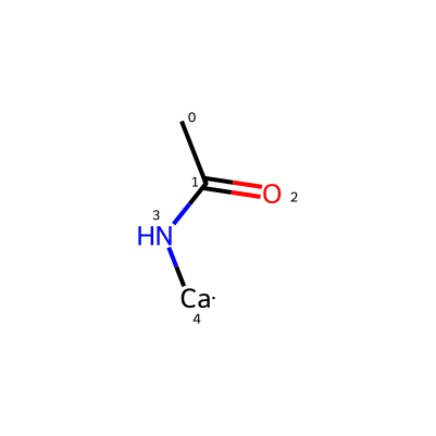 CC(=O)[NH][Ca]